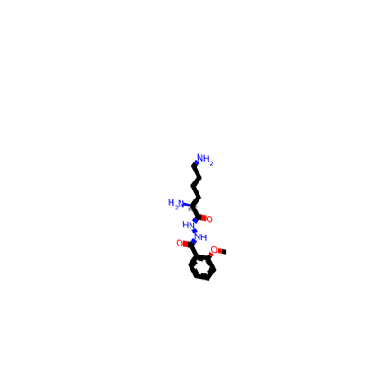 COc1ccccc1C(=O)NNC(=O)[C@@H](N)CCCCN